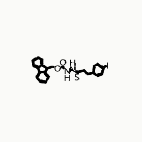 O=C(NNC(=S)CCc1ccc(I)cc1)OCC1c2ccccc2-c2ccccc21